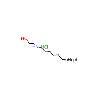 CCCCCCCCCCCCCNCCO.Cl